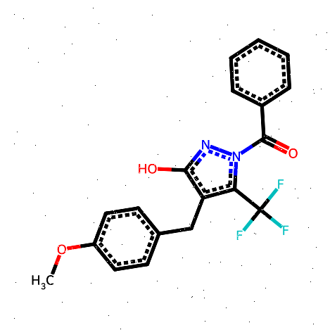 COc1ccc(Cc2c(O)nn(C(=O)c3ccccc3)c2C(F)(F)F)cc1